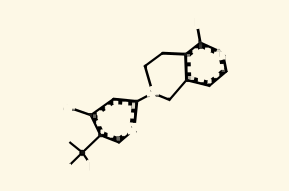 Fc1nccc2c1CCN(c1cc(Cl)c(C(F)(F)F)cn1)C2